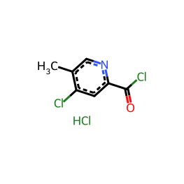 Cc1cnc(C(=O)Cl)cc1Cl.Cl